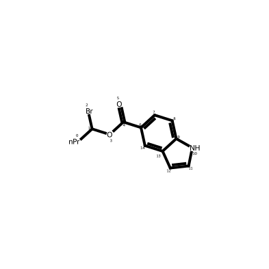 CCCC(Br)OC(=O)c1ccc2[nH]ccc2c1